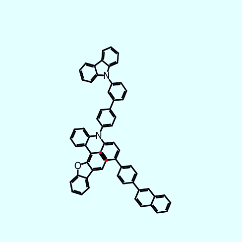 c1cc(-c2ccc(N(c3ccc(-c4ccc(-c5ccc6ccccc6c5)cc4)cc3)c3ccccc3-c3cccc4c3oc3ccccc34)cc2)cc(-n2c3ccccc3c3ccccc32)c1